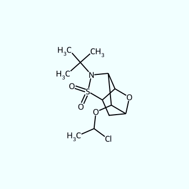 CC(Cl)OC1C2CC3C(O2)C1N(C(C)(C)C)S3(=O)=O